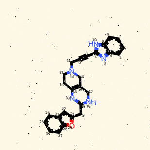 C(#Cc1nc2ccccc2[nH]1)CN1CCC2=C(CNC(Cc3cc4ccccc4o3)=N2)C1